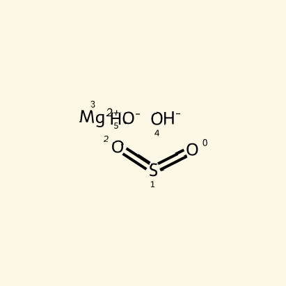 O=S=O.[Mg+2].[OH-].[OH-]